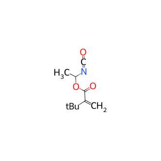 C=C(C(=O)OC(C)N=C=O)C(C)(C)C